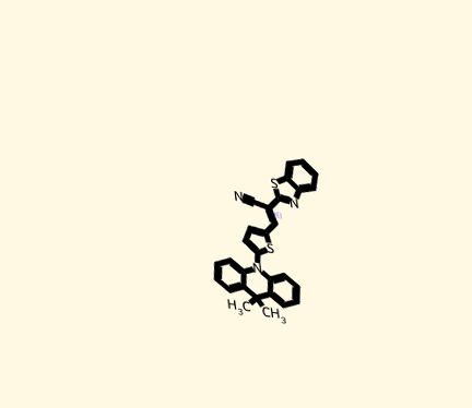 CC1(C)c2ccccc2N(c2ccc(/C=C(\C#N)c3nc4ccccc4s3)s2)c2ccccc21